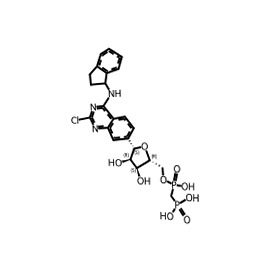 O=P(O)(O)CP(=O)(O)OC[C@H]1O[C@@H](c2ccc3c(NC4CCc5ccccc54)nc(Cl)nc3c2)[C@H](O)[C@@H]1O